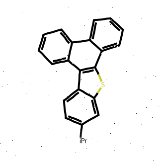 CC(C)c1ccc2c(c1)sc1c3ccccc3c3ccccc3c21